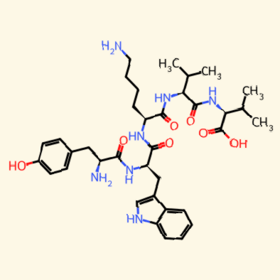 CC(C)[C@H](NC(=O)[C@@H](NC(=O)[C@H](CCCCN)NC(=O)[C@@H](Cc1c[nH]c2ccccc12)NC(=O)[C@@H](N)Cc1ccc(O)cc1)C(C)C)C(=O)O